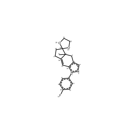 CC12Cc3cnn(-c4ccc(F)cc4)c3C=C1CCC21OCCO1